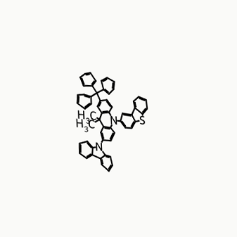 CC1(C)c2cc(-n3c4ccccc4c4ccccc43)ccc2N(c2ccc3sc4ccccc4c3c2)c2ccc(C(c3ccccc3)(c3ccccc3)c3ccccc3)cc21